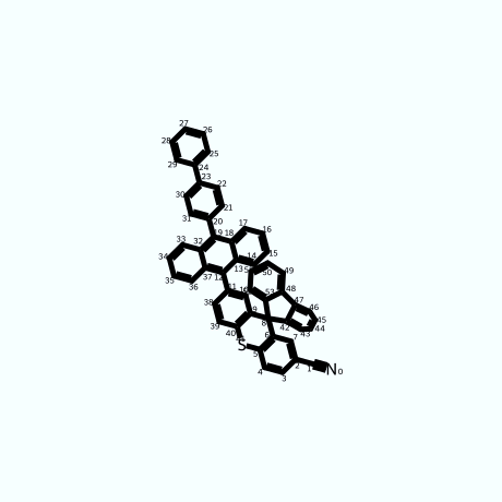 N#Cc1ccc2c(c1)C1(c3cc(-c4c5ccccc5c(-c5ccc(-c6ccccc6)cc5)c5ccccc45)ccc3S2)c2ccccc2-c2ccccc21